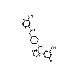 N#Cc1cc(F)cc([C@@H]2CCON2C(=O)[C@H]2CC[C@H](CNc3cc(C#N)ncn3)CC2)c1